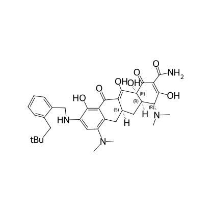 CN(C)c1cc(NCc2ccccc2CC(C)(C)C)c(O)c2c1C[C@@H]1C[C@@H]3[C@@H](N(C)C)C(O)=C(C(N)=O)C(=O)[C@]3(O)C(O)=C1C2=O